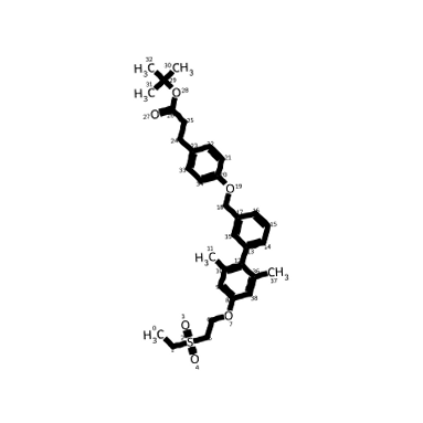 CCS(=O)(=O)CCOc1cc(C)c(-c2cccc(COc3ccc(CCC(=O)OC(C)(C)C)cc3)c2)c(C)c1